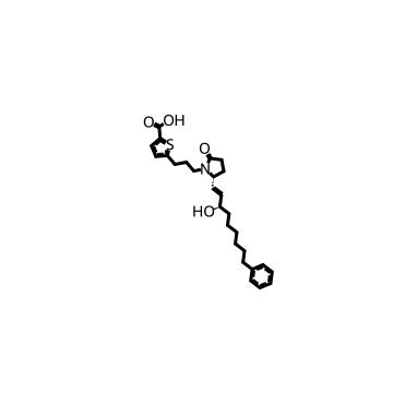 O=C(O)c1ccc(CCCN2C(=O)CC[C@@H]2/C=C/[C@@H](O)CCCCCCc2ccccc2)s1